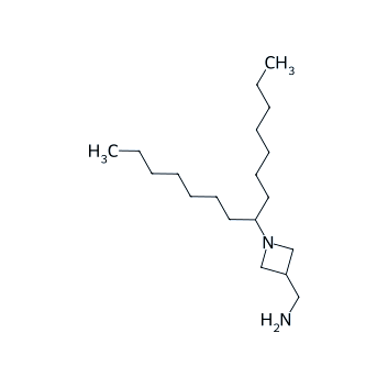 CCCCCCCC(CCCCCCC)N1CC(CN)C1